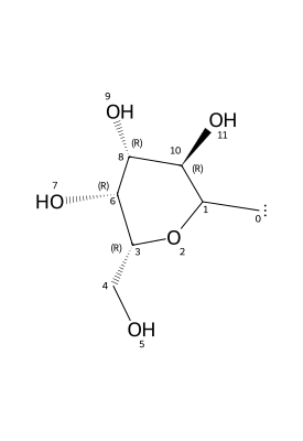 [C]C1O[C@H](CO)[C@H](O)[C@H](O)[C@H]1O